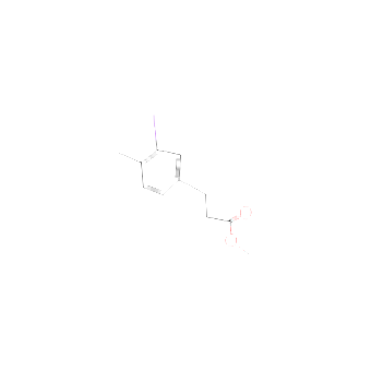 COC(=O)CCc1ccc(C)c(I)c1